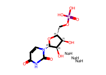 O=c1ccn([C@@H]2O[C@H](COP(=O)(O)O)[C@@H](O)[C@H]2O)c(=O)[nH]1.[NaH].[NaH].[NaH]